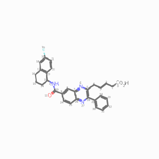 O=C(O)CCCCc1nc2cc(C(=O)NC3CCCc4cc(F)ccc43)ccc2nc1-c1ccccc1